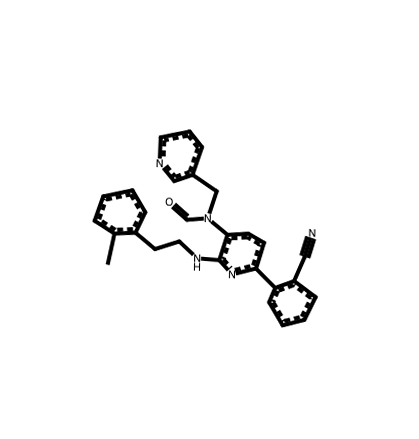 Cc1ccccc1CCNc1nc(-c2ccccc2C#N)ccc1N(C=O)Cc1cccnc1